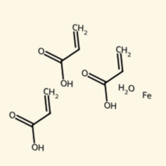 C=CC(=O)O.C=CC(=O)O.C=CC(=O)O.O.[Fe]